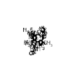 CC[C@@H]1CN(Cc2cc(C(c3ccc4c(nnn4CC)c3C)C(C)(C)C(=O)N[C@@H]3CCOC3)ccc2C)S(=O)(=O)c2cccnc2O1